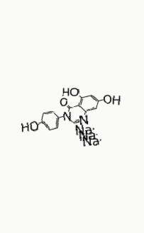 O=c1c2c(O)cc(O)cc2ncn1-c1ccc(O)cc1.[Na].[Na].[Na]